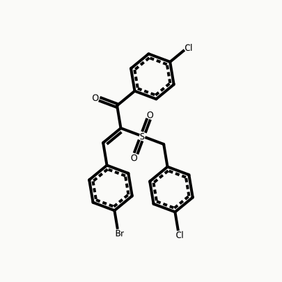 O=C(C(=Cc1ccc(Br)cc1)S(=O)(=O)Cc1ccc(Cl)cc1)c1ccc(Cl)cc1